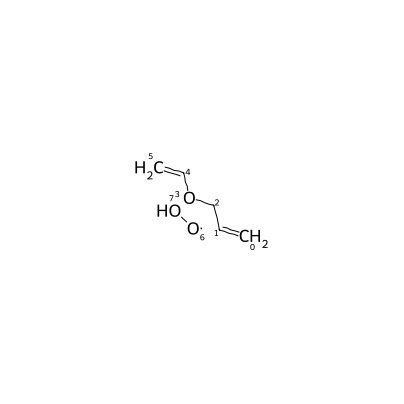 C=CCOC=C.[O]O